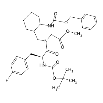 COC(=O)CN(CC1CCCCC1NC(=O)OCc1ccccc1)C(=O)[C@H](Cc1ccc(F)cc1)NC(=O)OC(C)(C)C